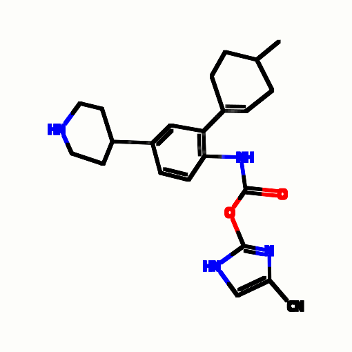 CC1CC=C(c2cc(C3CCNCC3)ccc2NC(=O)Oc2nc(C#N)c[nH]2)CC1